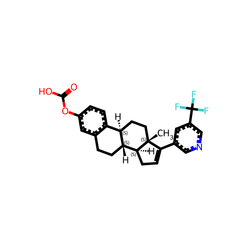 C[C@]12CC[C@@H]3c4ccc(OC(=O)O)cc4CC[C@H]3[C@@H]1CC=C2c1cncc(C(F)(F)F)c1